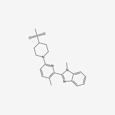 Cc1ccc(N2CCC(S(C)(=O)=O)CC2)nc1-c1nc2ccccc2n1C